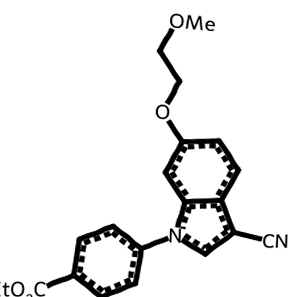 CCOC(=O)c1ccc(-n2cc(C#N)c3ccc(OCCOC)cc32)cc1